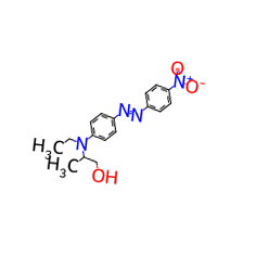 CCN(c1ccc(N=Nc2ccc([N+](=O)[O-])cc2)cc1)C(C)CO